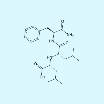 CC(C)C[C@H](N[C@H](CC(C)C)C(=O)O)C(=O)N[C@@H](Cc1ccccc1)C(N)=O